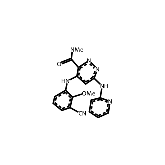 CNC(=O)c1nnc(Nc2ccccn2)cc1Nc1cccc(C#N)c1OC